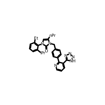 CCCc1cn(-c2c(CC)cccc2C(C)C)c(=O)n1Cc1ccc(-c2ncccc2-c2nnn[nH]2)cc1